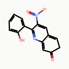 O=C1C=c2nc(-c3ccccc3O)c([N+](=O)[O-])cc2=CC1